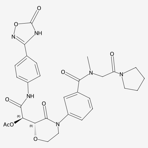 CC(=O)O[C@@H](C(=O)Nc1ccc(-c2noc(=O)[nH]2)cc1)[C@H]1OCCN(c2cccc(C(=O)N(C)CC(=O)N3CCCC3)c2)C1=O